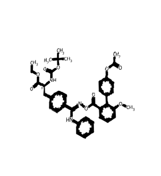 CCOC(=O)[C@H](Cc1ccc(C(=NOC(=O)c2cccc(OC)c2-c2ccc(OC(C)=O)cc2)Nc2ccccc2)cc1)NC(=O)OC(C)(C)C